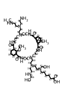 CNCCN(CCN)CCN1CCNC(=O)c2cccc(c2OC)C(=O)NCCN(CCN(CCNCO)CCN(CO)CCCCCC(=O)O)CCNC(=O)c2cccc(c2OC)C(=O)NCC1